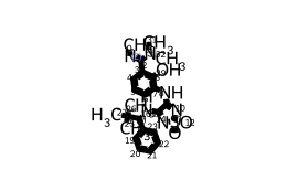 C/N=C(/c1cccc(NC2=NS(=O)(=O)N=C2N[C@@H](c2ccccc2)C(C)(C)C)c1O)N(C)C